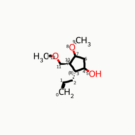 C=CC[C@H]1C(O)CC(OC)[C@@H]1COC